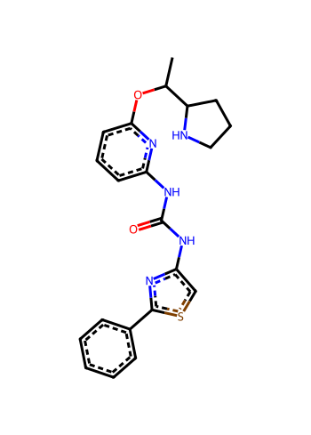 CC(Oc1cccc(NC(=O)Nc2csc(-c3ccccc3)n2)n1)C1CCCN1